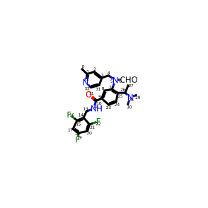 Cc1cc(CN(C=O)c2cc(C(=O)NCc3c(F)cc(F)cc3F)ccc2C(C)N(C)C)ccn1